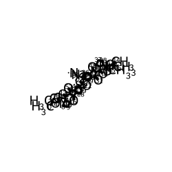 CC(C)(C)OC(=O)N1CCC[C@@H]1C(=O)C1C(=O)c2ccc(S(=O)(=O)c3ccc4c(c3)C(=O)C(C(=O)[C@H]3CCCN3C(=O)OC(C)(C)C)C4=O)cc2C1=O.[Na].[Na]